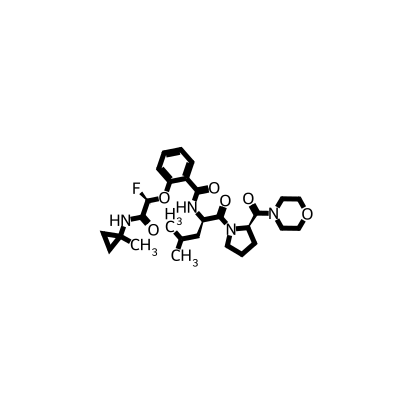 CC(C)C[C@@H](NC(=O)c1ccccc1O[C@H](F)C(=O)NC1(C)CC1)C(=O)N1CCC[C@@H]1C(=O)N1CCOCC1